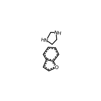 C1CNCN1.c1ccc2occc2c1